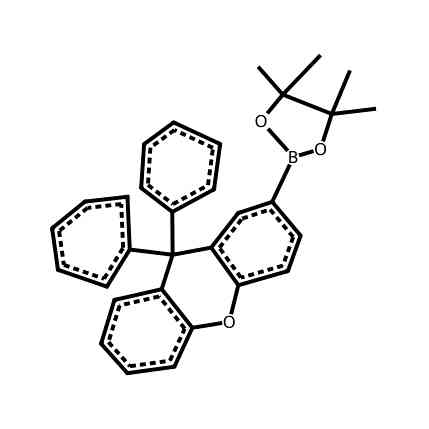 CC1(C)OB(c2ccc3c(c2)C(c2ccccc2)(c2ccccc2)c2ccccc2O3)OC1(C)C